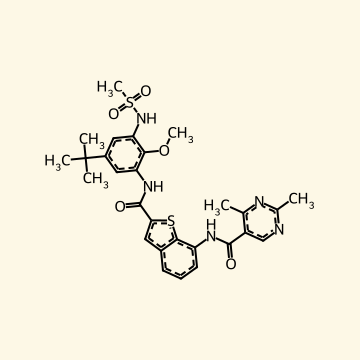 COc1c(NC(=O)c2cc3cccc(NC(=O)c4cnc(C)nc4C)c3s2)cc(C(C)(C)C)cc1NS(C)(=O)=O